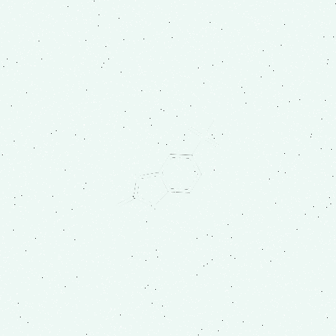 CS(=O)(=O)c1ccc2[nH]c(=O)sc2c1